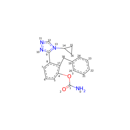 NC(=O)Oc1cccc(-c2nncn2C2CC2)c1Cc1ccccc1